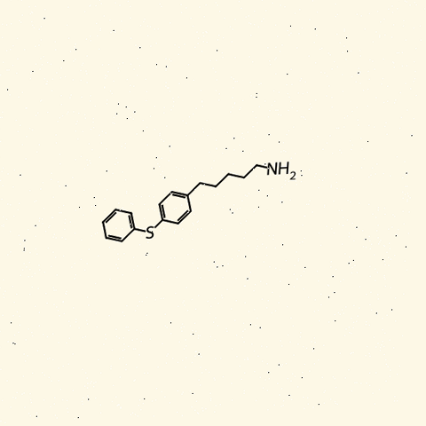 NCCCCCc1ccc(Sc2ccccc2)cc1